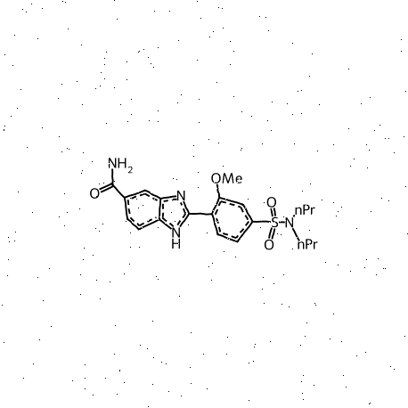 CCCN(CCC)S(=O)(=O)c1ccc(-c2nc3cc(C(N)=O)ccc3[nH]2)c(OC)c1